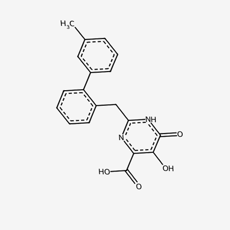 Cc1cccc(-c2ccccc2Cc2nc(C(=O)O)c(O)c(=O)[nH]2)c1